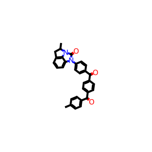 Cc1ccc(C(=O)c2ccc(C(=O)c3ccc(-n4c(=O)n5c6c(cccc64)CC5C)cc3)cc2)cc1